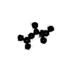 c1ccc(-c2cc(-c3ccc(-c4cc(-c5ccccc5)cc(-c5ccccc5)n4)cc3)cc(-c3nc(-c4ccccc4)c4ccc(-c5ccccc5)cc4n3)c2)cc1